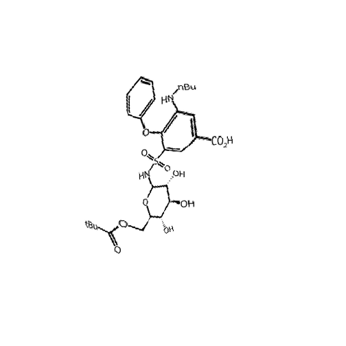 CCCCNc1cc(C(=O)O)cc(S(=O)(=O)NC2O[C@H](COC(=O)C(C)(C)C)[C@@H](O)[C@H](O)[C@H]2O)c1Oc1ccccc1